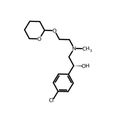 CN(CCOC1CCCCO1)C[C@H](O)c1ccc(Cl)cc1